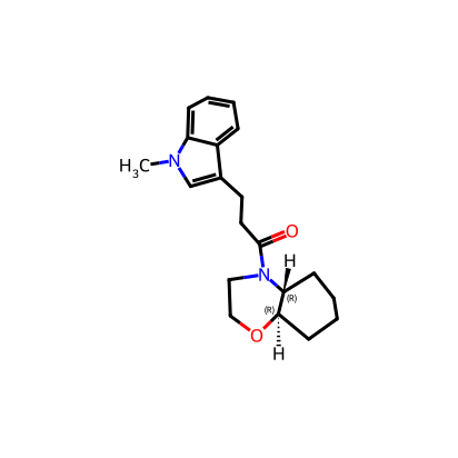 Cn1cc(CCC(=O)N2CCO[C@@H]3CCCC[C@H]32)c2ccccc21